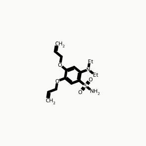 C=CCOc1cc(N(CC)CC)c(S(N)(=O)=O)cc1OCC=C